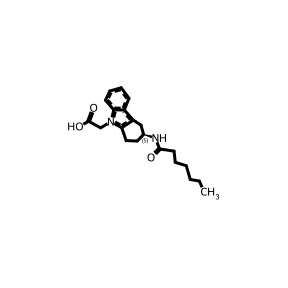 CCCCCCC(=O)N[C@H]1CCc2c(c3ccccc3n2CC(=O)O)C1